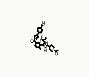 CC(=O)N1CCC(c2nc(C(F)(F)F)c(-c3cc(C(=O)N4CC(c5ccc(C#N)cc5)C4)ccc3C)[nH]2)CC1